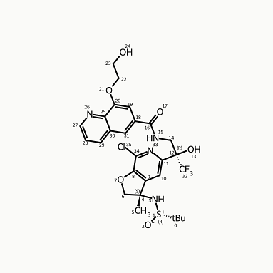 CC(C)(C)[S@+]([O-])N[C@]1(C)COc2c1cc([C@](O)(CNC(=O)c1cc(OCCO)c3ncccc3c1)C(F)(F)F)nc2Cl